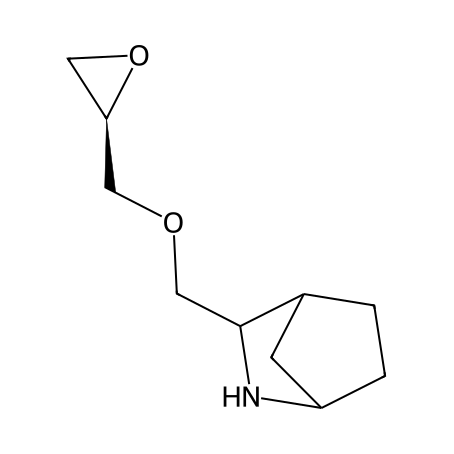 C1CC2CC1NC2COC[C@H]1CO1